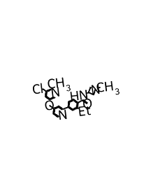 CCc1cc(-c2cc(Oc3cnc(C)c(Cl)c3)ccn2)ccc1C(=O)NC1CN(C)C1